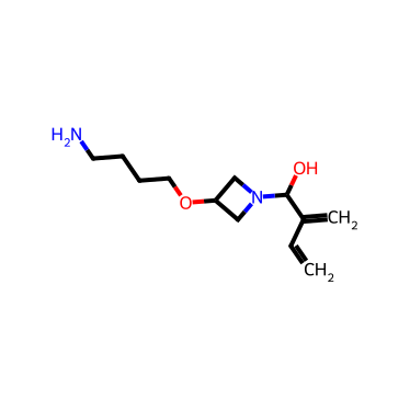 C=CC(=C)C(O)N1CC(OCCCCN)C1